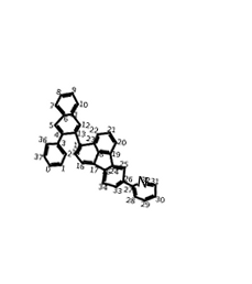 c1ccc(-c2cc3ccccc3cc2-c2ccc3c4c(cccc24)-c2cc(-c4ccccn4)ccc2-3)cc1